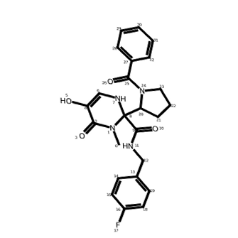 CN1C(=O)C(O)=CNC1(C(=O)NCc1ccc(F)cc1)C1CCCN1C(=O)c1ccccc1